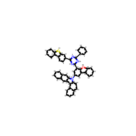 c1ccc(-c2nc(-c3ccc4c(c3)sc3ccccc34)nc(-c3cc(-n4c5cc6ccccc6cc5c5c6ccccc6ccc54)cc4c3oc3ccccc34)n2)cc1